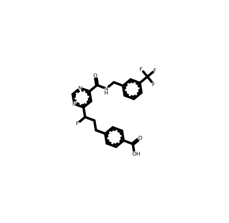 O=C(O)c1ccc(CCC(F)c2cc(C(=O)NCc3cccc(C(F)(F)F)c3)ncn2)cc1